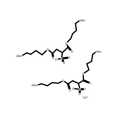 CCCCCCCCCCCCCCOC(=O)CC(C(=O)OCCCCCCCCCCCCCC)S(=O)(=O)[O-].CCCCCCCCCCCCCCOC(=O)CC(C(=O)OCCCCCCCCCCCCCC)S(=O)(=O)[O-].[Ca+2]